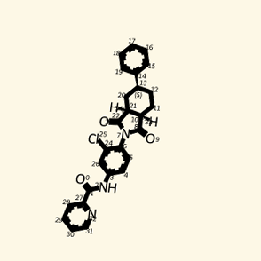 O=C(Nc1ccc(N2C(=O)[C@H]3CC[C@H](c4ccccc4)C[C@H]3C2=O)c(Cl)c1)c1ccccn1